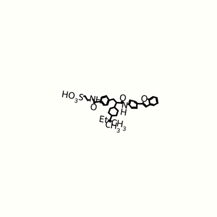 CCC(C)(C)C1CCC(C(Cc2ccc(C(=O)NCCS(=O)(=O)O)cc2)C(=O)Nc2ccc(-c3cc4ccccc4o3)cc2)CC1